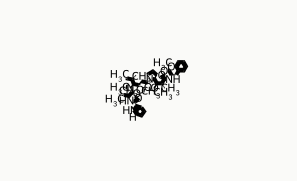 CC[C@H](C)[C@@H]([C@@H](CC(=O)N1CCC[C@H]1[C@H](OC)[C@@H](C)C(=O)N[C@@H](Cc1ccccc1)C(=O)OC)OC)N(C)C(=O)[C@@H](NC(=O)[C@H]1N[C@H]2CCC1C2)C(C)C